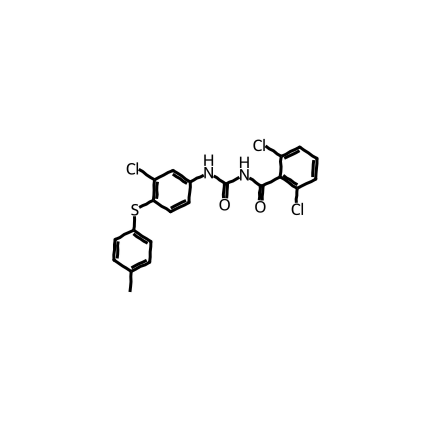 Cc1ccc(Sc2ccc(NC(=O)NC(=O)c3c(Cl)cccc3Cl)cc2Cl)cc1